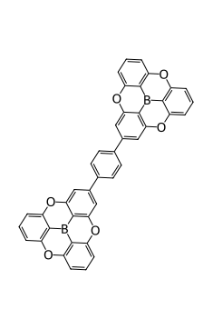 c1cc2c3c(c1)Oc1cc(-c4ccc(-c5cc6c7c(c5)Oc5cccc8c5B7c5c(cccc5O6)O8)cc4)cc4c1B3c1c(cccc1O4)O2